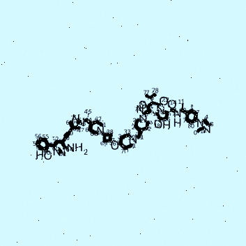 Cc1nccn1-c1ccc([C@H](C)NC(=O)[C@@H]2C[C@@H](O)CN2C(=O)[C@H](c2cc(N3CCC(CN4CCC(OC5CC(N6CCC([C@@H](C)n7cc(C#Cc8cc(-c9ccccc9O)nnc8N)cn7)CC6)C5)CC4)CC3)no2)C(C)C)cc1